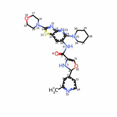 Cc1cc(C2NC(C(=O)Nc3cc4sc(N5CCOCC5)nc4nc3N3CCCCC3)=CO2)ccn1